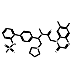 Cc1cc2ncc(=O)n(CC(=O)N(C)C(CN3CCCC3)c3ccc(-c4ccccc4NS(C)(=O)=O)cc3)c2cc1C